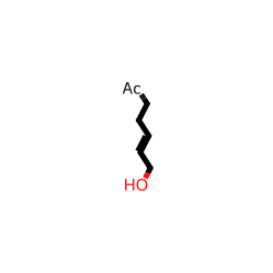 CC(=O)CC/C=C/CO